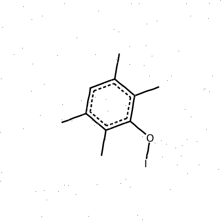 Cc1cc(C)c(C)c(OI)c1C